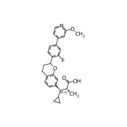 COc1cc(-c2ccc(C3CCc4ccc([C@H](C5CC5)[C@H](C)C(=O)O)cc4O3)c(F)c2)ccn1